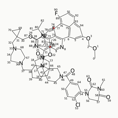 COCOc1cc(-c2ncc3c(N4CC5CCC(C4)N5C(=O)OC(C)(C)C)nc(OCC4(CN5CCN(CC6CCC7(CC6)CCN(C(=O)c6ccc(Cl)c(N8CCC(=O)N(C)C8=O)c6)CC7)CC5)CC4)nc3c2F)c2c(C#C[Si](C(C)C)(C(C)C)C(C)C)c(F)ccc2c1